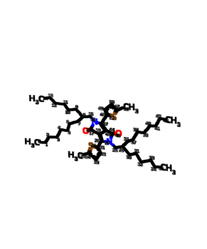 CCCCCCCCC(CCCCCC)CN1C(=O)C2=C(c3ccc(C)s3)N(CC(CCCCCC)CCCCCCCC)C(=O)C2=C1c1ccc(C)s1